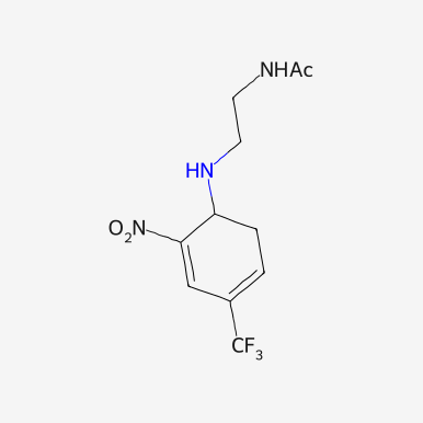 CC(=O)NCCNC1CC=C(C(F)(F)F)C=C1[N+](=O)[O-]